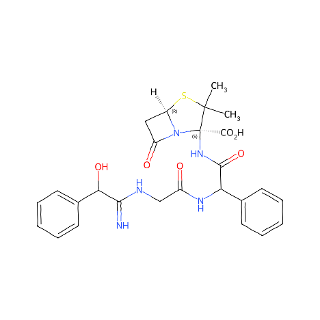 CC1(C)S[C@@H]2CC(=O)N2[C@@]1(NC(=O)C(NC(=O)CNC(=N)C(O)c1ccccc1)c1ccccc1)C(=O)O